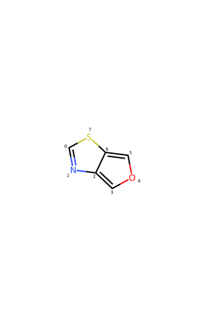 c1nc2cocc2s1